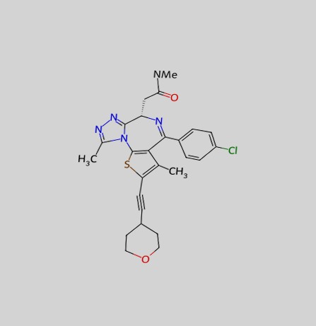 CNC(=O)C[C@@H]1N=C(c2ccc(Cl)cc2)c2c(sc(C#CC3CCOCC3)c2C)-n2c(C)nnc21